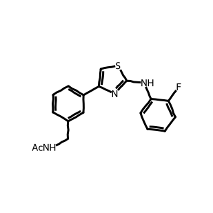 CC(=O)NCc1cccc(-c2csc(Nc3ccccc3F)n2)c1